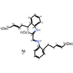 CCCCCCCCCCC=CCCc1ccccc1N=CC(CCCCCCCC)=Nc1ccccc1CCC=CCCCCCCCCCC.[Ni]